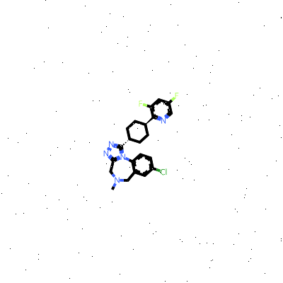 CN1Cc2cc(Cl)ccc2-n2c(nnc2[C@H]2CC[C@H](c3ncc(F)cc3F)CC2)C1